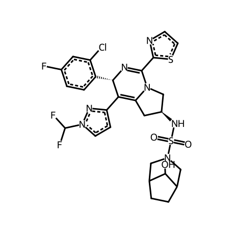 O=S(=O)(N[C@H]1CC2=C(c3ccn(C(F)F)n3)[C@H](c3ccc(F)cc3Cl)N=C(c3nccs3)N2C1)N1CC2CCC(C1)C2O